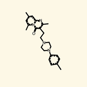 Cc1ccc(N2CCN(CCc3c(C)nc4cc(C)cc(C)n4c3=O)CC2)cc1